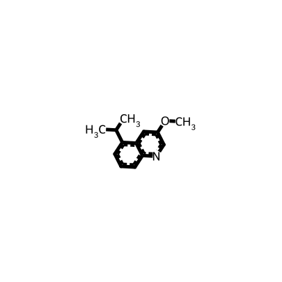 COc1cnc2cccc(C(C)C)c2c1